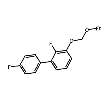 CCOCOc1cccc(-c2ccc(F)cc2)c1F